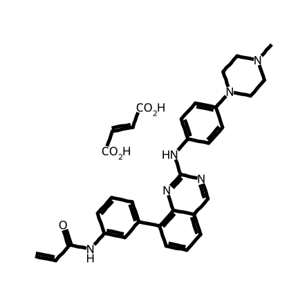 C=CC(=O)Nc1cccc(-c2cccc3cnc(Nc4ccc(N5CCN(C)CC5)cc4)nc23)c1.O=C(O)C=CC(=O)O